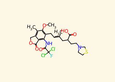 COc1c(C)c2c(c(NC(=O)C(F)(Cl)Cl)c1C/C=C(\C)CC(CCN1CCSC1)C(=O)O)C(=O)OC2